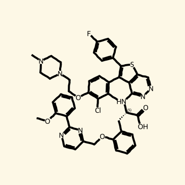 COc1ccccc1-c1nccc(COc2ccccc2C[C@H](Nc2nncc3sc(-c4ccc(F)cc4)c(-c4ccc(OCCN5CCN(C)CC5)c(Cl)c4C)c23)C(=O)O)n1